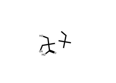 CC(CO)(CO)C(=O)O.CCC(C)(C)C